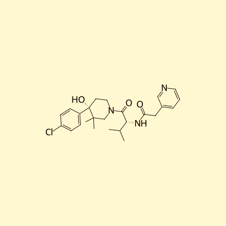 CC(C)[C@@H](NC(=O)Cc1cccnc1)C(=O)N1CC[C@](O)(c2ccc(Cl)cc2)C(C)(C)C1